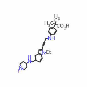 CCn1c(C#CCNc2ccc(C(C)(C)C(=O)O)cc2)cc2cc(CNC3CCN(I)CC3)ccc21